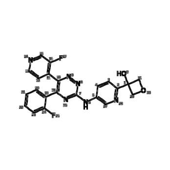 OC1(c2ccc(Nc3nnc(-c4ccncc4F)c(-c4ccccc4F)n3)cn2)COC1